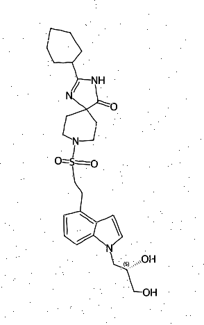 O=C1NC(C2CCCCC2)=NC12CCN(S(=O)(=O)CCc1cccc3c1ccn3C[C@H](O)CO)CC2